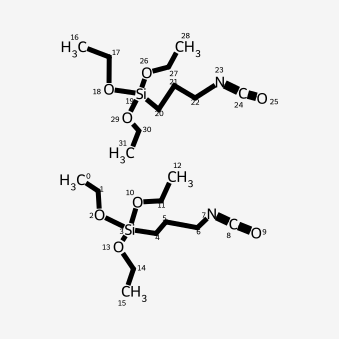 CCO[Si](CCCN=C=O)(OCC)OCC.CCO[Si](CCCN=C=O)(OCC)OCC